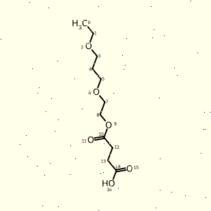 CCOCCCOCCOC(=O)CCC(=O)O